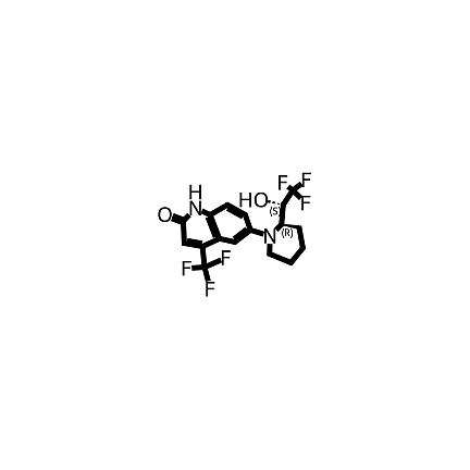 O=c1cc(C(F)(F)F)c2cc(N3CCCC[C@@H]3[C@H](O)C(F)(F)F)ccc2[nH]1